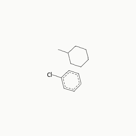 CC1CCCCC1.Clc1ccccc1